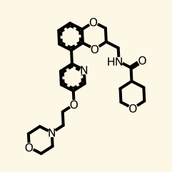 O=C(NCC1COc2cccc(-c3ccc(OCCN4CCOCC4)cn3)c2O1)C1CCOCC1